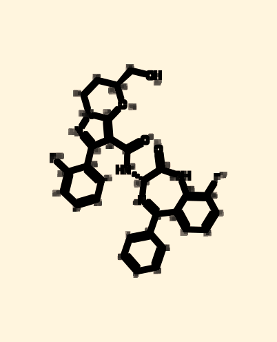 O=C(N[C@H]1N=C(c2ccccc2)c2cccc(F)c2NC1=O)c1c(-c2ccccc2F)nn2c1O[C@H](CO)CC2